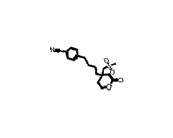 CS(=O)(=O)CC1(CCCCc2ccc(C#N)cc2)CCOC(=O)C1